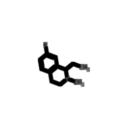 CCC1c2cc(F)ccc2CCN1C